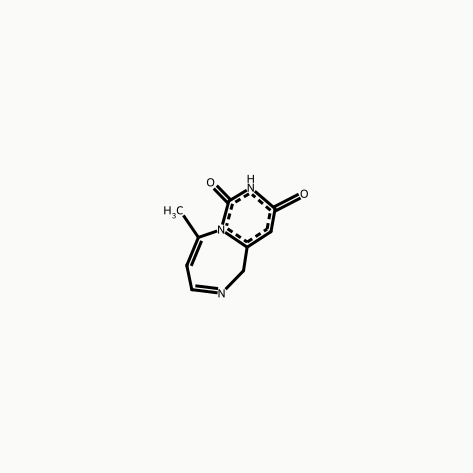 CC1=CC=NCc2cc(=O)[nH]c(=O)n21